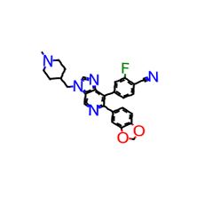 CN1CCC(Cn2cnc3c(-c4ccc(C#N)c(F)c4)c(-c4ccc5c(c4)OCO5)ncc32)CC1